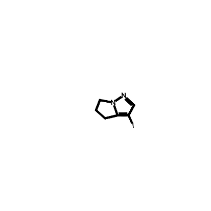 Ic1cnn2c1CCC2